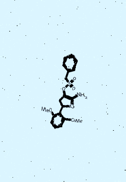 COc1cccc(OC)c1C1CC(OS(=O)(=O)Cc2ccccc2)=C(N)O1